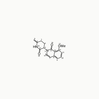 C=C1CCC(n2ncc3cccc(OC)c3c2=O)C(=O)N1